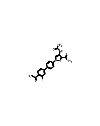 NC(=O)Nc1cn(-c2ccc(-c3ccc(C(N)=O)c(F)c3)cc2)nc1C(N)=O